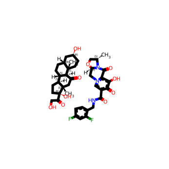 C[C@H]1CO[C@@H]2Cn3cc(C(=O)NCc4ccc(F)cc4F)c(=O)c(O)c3C(=O)N12.C[C@]12CC[C@@H](O)C[C@H]1CC[C@@H]1[C@@H]2C(=O)C[C@@]2(C)[C@H]1CC[C@]2(O)C(=O)CO